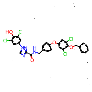 O=C(NCc1ccc(Oc2cc(Cl)c(OCc3ccccc3)c(Cl)c2)cc1)c1ncn(-c2cc(Cl)c(O)c(Cl)c2)n1